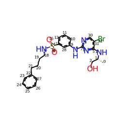 C[C@H](CO)Nc1nc(Nc2cccc(S(=O)(=O)NCCCCc3ccccc3)c2)ncc1Br